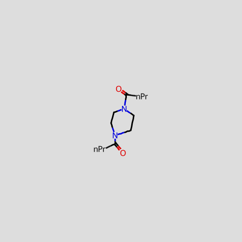 CCCC(=O)N1CCN(C(=O)CCC)CC1